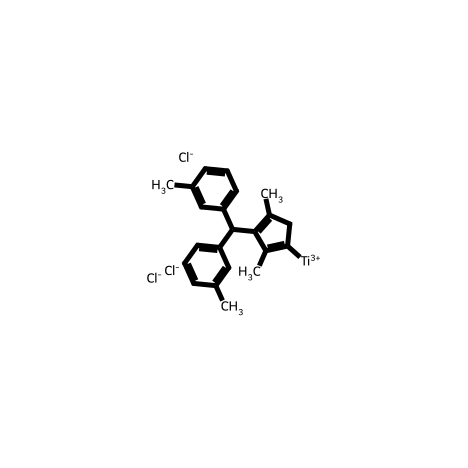 CC1=C(C(c2cccc(C)c2)c2cccc(C)c2)C(C)=[C]([Ti+3])C1.[Cl-].[Cl-].[Cl-]